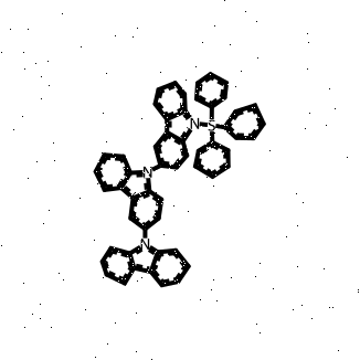 c1ccc(S(c2ccccc2)(c2ccccc2)n2c3ccccc3c3cc(-n4c5ccccc5c5cc(-n6c7ccccc7c7ccccc76)ccc54)ccc32)cc1